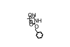 CC(NC(=O)OCc1ccccc1)P(C)(=O)O